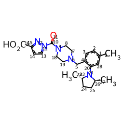 Cc1ccc(CN2CCN(C(=O)n3ccc(C(=O)O)n3)CC2)c(N2[C@@H](C)CC[C@@H]2C)c1